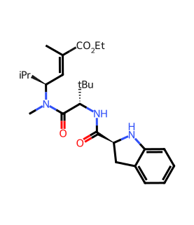 CCOC(=O)/C(C)=C/[C@H](C(C)C)N(C)C(=O)[C@@H](NC(=O)[C@@H]1Cc2ccccc2N1)C(C)(C)C